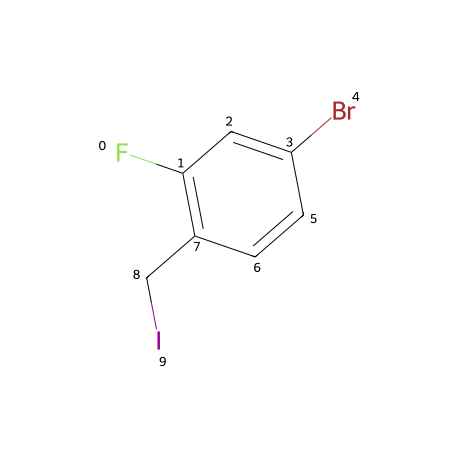 Fc1cc(Br)ccc1CI